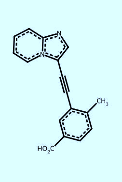 Cc1ccc(C(=O)O)cc1C#Cc1cnc2ccccn12